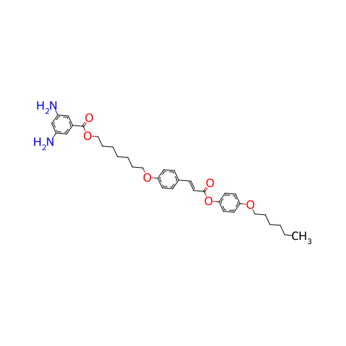 CCCCCCOc1ccc(OC(=O)C=Cc2ccc(OCCCCCCCOC(=O)c3cc(N)cc(N)c3)cc2)cc1